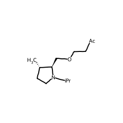 CC(=O)CCOC[C@@H]1[C@@H](C)CCN1C(C)C